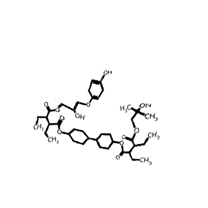 CCC(C(=O)OCC(O)COC1=CCC(O)=CC1)C(CC)C(=O)OC1CCC(C2CCC(OC(=O)C(CC)C(CC)C(=O)OCC(C)(C)O)CC2)CC1